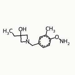 CCC1(O)CN(Cc2ccc(ON)c(C)c2)C1